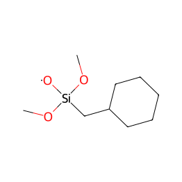 CO[Si]([O])(CC1CCCCC1)OC